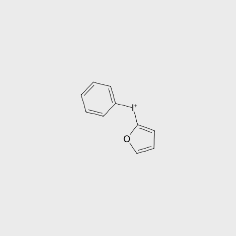 c1ccc([I+]c2ccco2)cc1